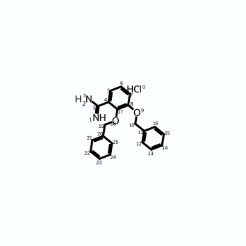 Cl.N=C(N)c1cccc(OCc2ccccc2)c1OCc1ccccc1